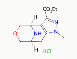 CCOC(=O)c1nn(C)c2c1[C@@H]1COC[C@H](C2)N1.Cl